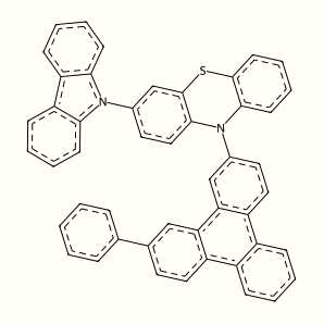 c1ccc(-c2ccc3c4ccccc4c4ccc(N5c6ccccc6Sc6cc(-n7c8ccccc8c8ccccc87)ccc65)cc4c3c2)cc1